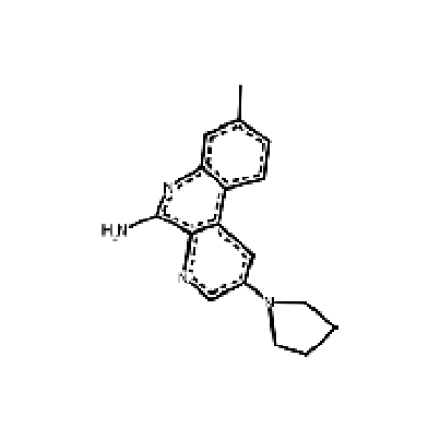 Cc1ccc2c(c1)nc(N)c1ncc(N3CCCC3)cc12